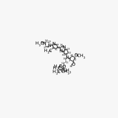 COc1cc(OI)cc(N(CCCO[Si](C)(C)C(C)(C)C)c2ccc3ncc(-c4cnc(N5CCN(C)CC5)c(C)c4)nc3c2)c1